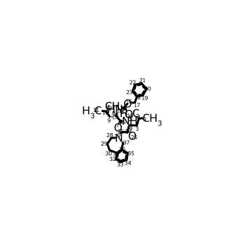 CC(C)CC(NC(=O)[C@H](CC(C)C)NC(=O)OCc1ccccc1)C(=O)CN1CCCc2ccccc2C1